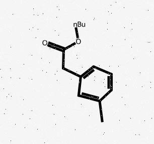 CCCCOC(=O)Cc1cccc(C)c1